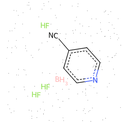 B.F.F.F.N#Cc1ccncc1